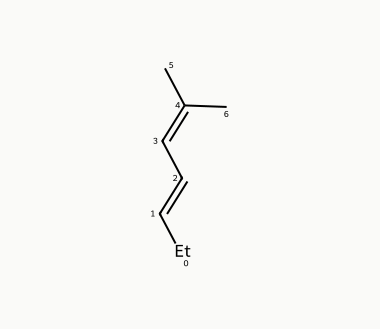 [CH2]CC=CC=C(C)C